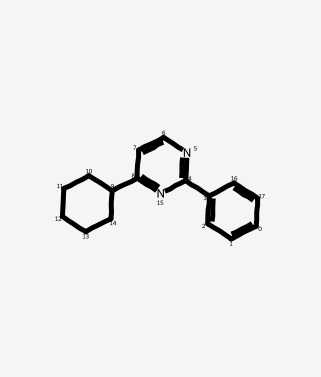 c1ccc(-c2nccc(C3CCCCC3)n2)cc1